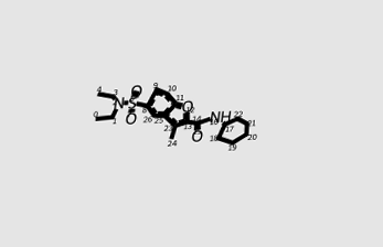 CCN(CC)S(=O)(=O)c1ccc2oc(C(=O)NC3CCCCC3)c(C)c2c1